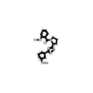 CCOc1ccccc1C(=O)N1CCCC1c1nnc(-c2cccc(OC)c2)o1